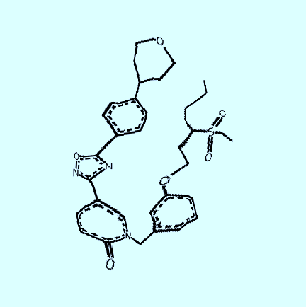 CCCC(CCOc1cccc(Cn2cc(-c3noc(-c4ccc(C5CCOCC5)cc4)n3)ccc2=O)c1)S(C)(=O)=O